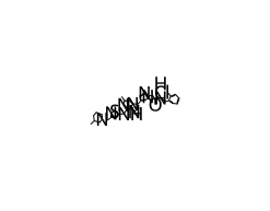 Cc1cn2c(-c3cnn(CC(=O)NCc4ccccc4Cl)c3)cnc2c(Nc2cc(CN3CCCC(C)C3)ns2)n1